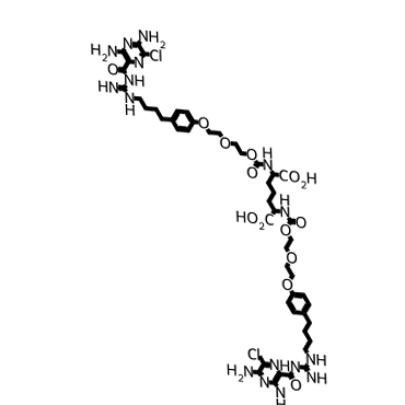 N=C(NCCCCc1ccc(OCCOCCOC(=O)NC(CCCC(NC(=O)OCCOCCOc2ccc(CCCCNC(=N)NC(=O)c3nc(Cl)c(N)nc3N)cc2)C(=O)O)C(=O)O)cc1)NC(=O)c1nc(Cl)c(N)nc1N